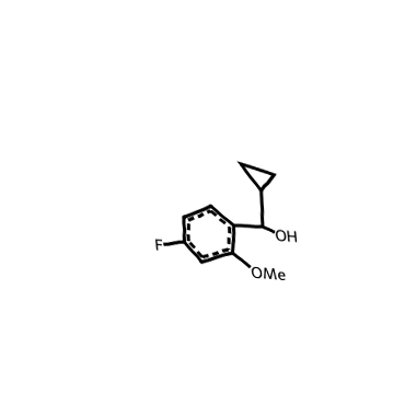 COc1cc(F)ccc1C(O)C1CC1